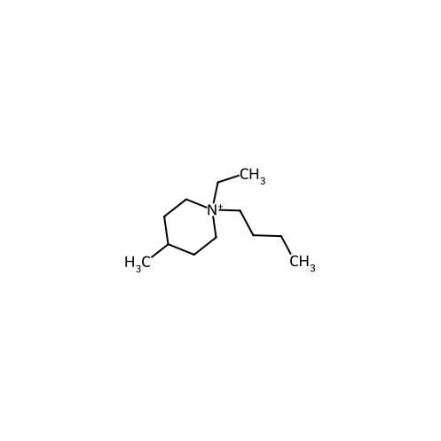 CCCC[N+]1(CC)CCC(C)CC1